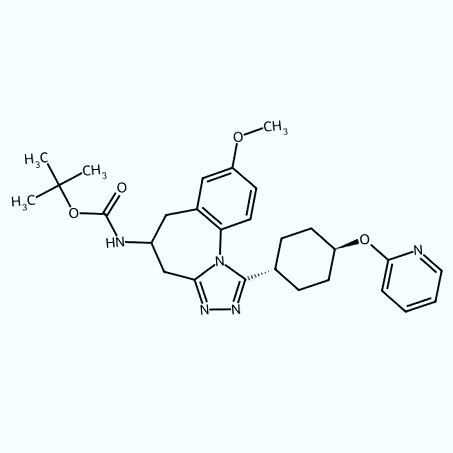 COc1ccc2c(c1)CC(NC(=O)OC(C)(C)C)Cc1nnc([C@H]3CC[C@H](Oc4ccccn4)CC3)n1-2